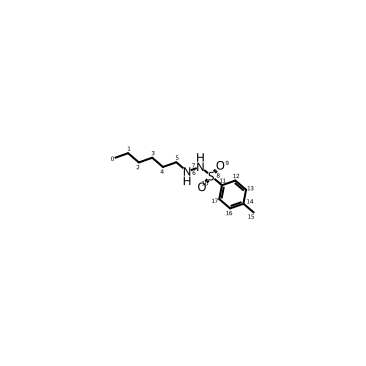 CCCCCCNNS(=O)(=O)c1ccc(C)cc1